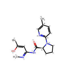 C/N=C(\C=C(/O)C(C)(C)C)NC(=O)[C@@H]1CCCN1c1ccc(C)cn1